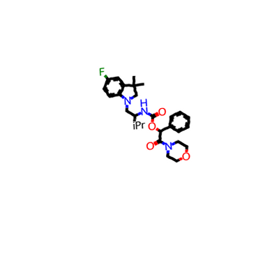 CC(C)C(CN1CC(C)(C)c2cc(F)ccc21)NC(=O)OC(C(=O)N1CCOCC1)c1ccccc1